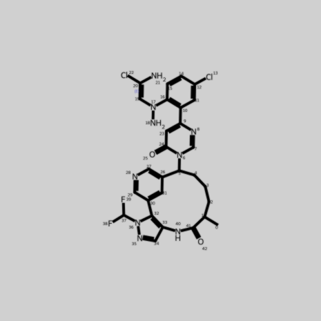 CC1CCCC(n2cnc(-c3cc(Cl)ccc3N(N)/C=C(\N)Cl)cc2=O)c2cncc(c2)-c2c(cnn2C(F)F)NC1=O